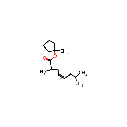 CC(C)C/C=C\CC(C)C(=O)OC1(C)CCCC1